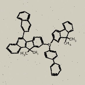 CC1(C)c2ccccc2-c2ccc(N(c3ccc(-c4ccccc4)cc3)c3ccc4c(c3)C(C)(C)c3c-4c(-c4ccc5ccccc5c4)cc4ccccc34)cc21